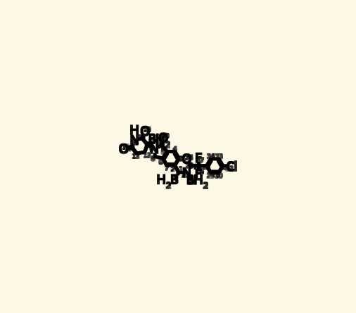 BC(c1ccc2c(c1)CN([C@]1(B)CCC(=O)NC1=O)C2=O)N(B)C(=O)C(F)(F)c1ccc(Cl)cc1